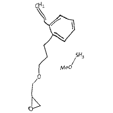 C=Cc1ccccc1CCCOCC1CO1.CO[SiH3]